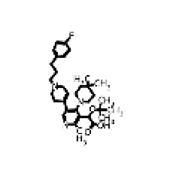 Cc1ncc(C2=CCN(CCCc3ccc(F)cc3)CC2)c(N2CCC(C)(C)CC2)c1C(OC(C)(C)C)C(=O)O